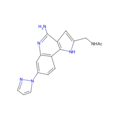 CC(=O)NCc1cc2c(N)nc3cc(-n4cccn4)ccc3c2[nH]1